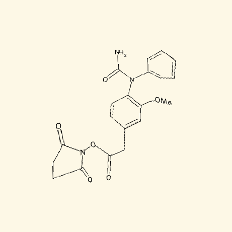 COc1cc(CC(=O)ON2C(=O)CCC2=O)ccc1N(C(N)=O)c1ccccc1